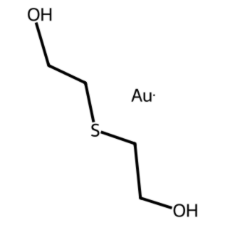 OCCSCCO.[Au]